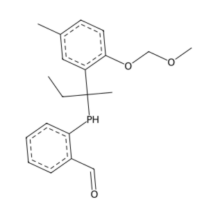 CCC(C)(Pc1ccccc1C=O)c1cc(C)ccc1OCOC